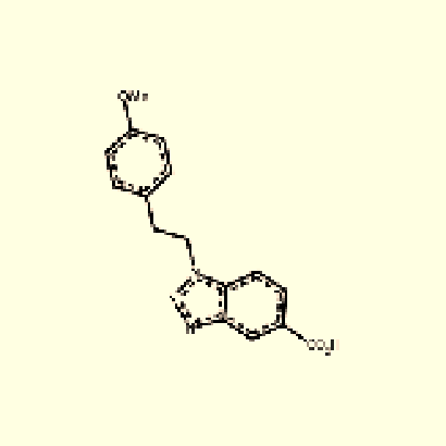 COc1ccc(CCn2nnc3cc(C(=O)O)ccc32)cc1